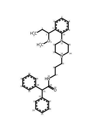 CCC(OC)c1ccccc1N1CCN(CCCNC(=O)C(c2ccccc2)c2ccccc2)CC1